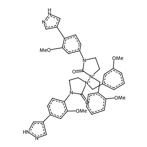 COc1cccc(C[N+]2([N+]3(Cc4ccccc4OC)CCN(c4ccc(-c5cn[nH]c5)c(OC)c4)C3=O)CCN(c3ccc(-c4cn[nH]c4)cc3OC)C2=O)c1